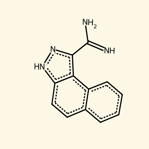 N=C(N)c1n[nH]c2ccc3ccccc3c12